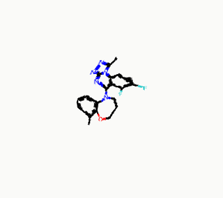 Cc1cccc2c1OCCCN2c1nc2nnc(C)n2c2ccc(F)c(F)c12